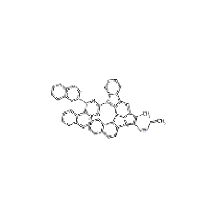 C=C/C=C\c1c(C)c2cc3c4ccccc4n(-c4nc(-c5ccc6ccccc6c5)c5c(ccc6ccccc65)n4)c3c3c4c5ccccc5ccc4n1c23